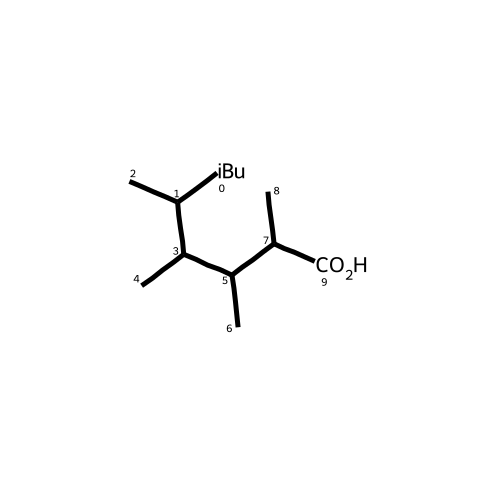 CCC(C)C(C)C(C)C(C)C(C)C(=O)O